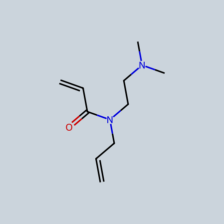 C=CCN(CCN(C)C)C(=O)C=C